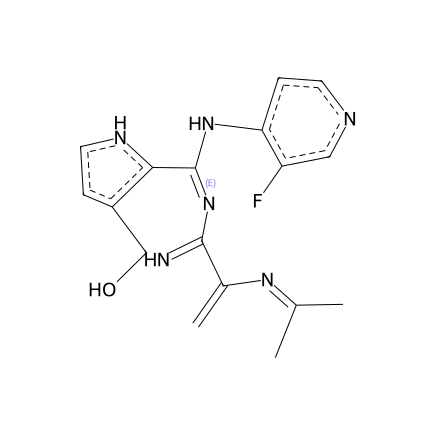 C=C(N=C(C)C)C(=N)/N=C(/Nc1ccncc1F)c1[nH]ccc1CO